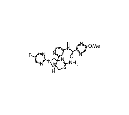 COc1cnc(C(=O)Nc2ccnc(C34CN(c5ncc(F)cn5)C[C@H]3CSC(N)=N4)c2)cn1